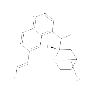 CC=Cc1ccc2nccc(C(C)[C@@H]3CC4CCN3CC4CC)c2c1